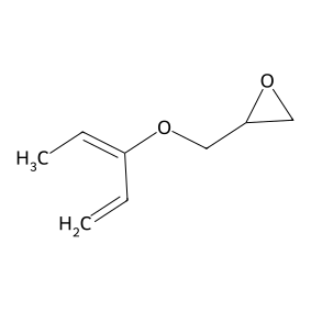 C=C/C(=C\C)OCC1CO1